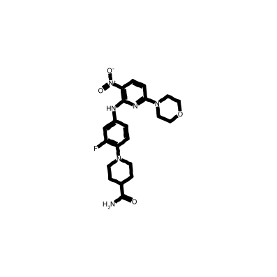 NC(=O)C1CCN(c2ccc(Nc3nc(N4CCOCC4)ccc3[N+](=O)[O-])cc2F)CC1